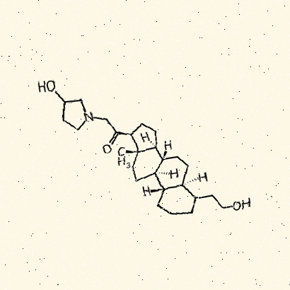 C[C@]12CC[C@@H]3[C@H]4CCCC(CCO)[C@@H]4CC[C@H]3[C@@H]1CC[C@@H]2C(=O)CN1CCC(O)C1